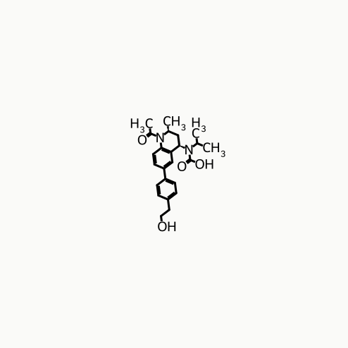 CC(=O)N1c2ccc(-c3ccc(CCO)cc3)cc2[C@H](N(C(=O)O)C(C)C)C[C@@H]1C